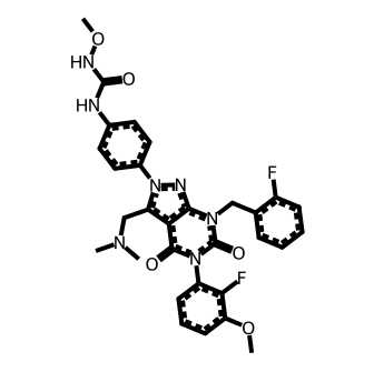 CONC(=O)Nc1ccc(-n2nc3c(c2CN(C)C)c(=O)n(-c2cccc(OC)c2F)c(=O)n3Cc2ccccc2F)cc1